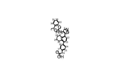 CC(OC(=O)Nc1cnoc1-c1ccc(-c2ccc(CC(=O)O)cc2)c2c1CCCC2)c1ccccc1